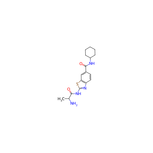 CC(N)C(=O)Nc1nc2ccc(C(=O)NC3CCCCC3)cc2s1